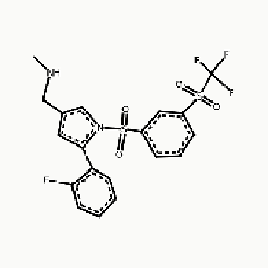 CNCc1cc(-c2ccccc2F)n(S(=O)(=O)c2cccc(S(=O)(=O)C(F)(F)F)c2)c1